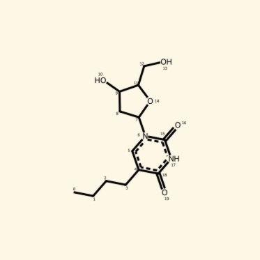 CCCCc1cn(C2CC(O)C(CO)O2)c(=O)[nH]c1=O